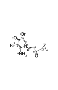 Nc1c(Br)c(=O)c(Br)cn1/C=C/C(=O)C1CC1